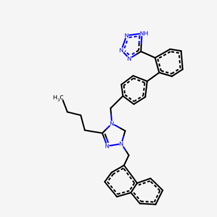 CCCCC1=NN(Cc2cccc3ccccc23)CN1Cc1ccc(-c2ccccc2-c2nnn[nH]2)cc1